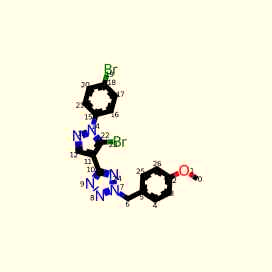 COc1ccc(Cn2nnc(-c3cnn(-c4ccc(Br)cc4)c3Br)n2)cc1